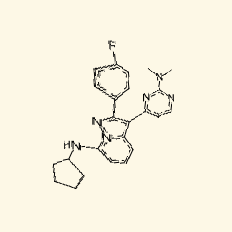 CN(C)c1nccc(-c2c(-c3ccc(F)cc3)nn3c(NC4CCCC4)cccc23)n1